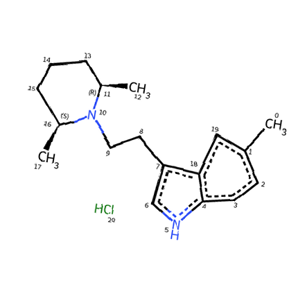 Cc1ccc2[nH]cc(CCN3[C@H](C)CCC[C@@H]3C)c2c1.Cl